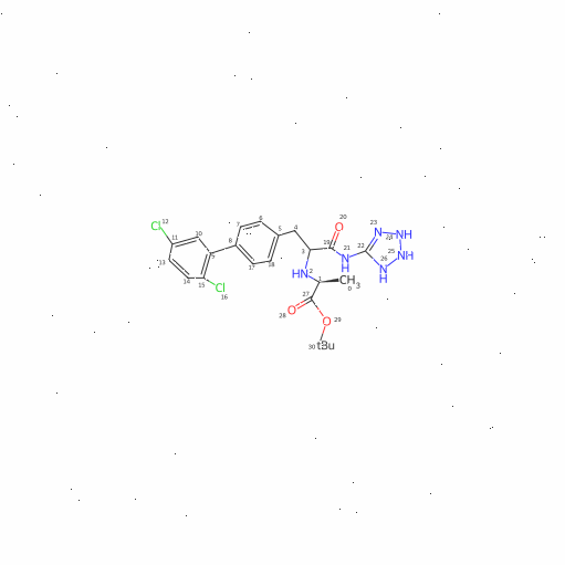 C[C@H](NC(Cc1ccc(-c2cc(Cl)ccc2Cl)cc1)C(=O)NC1=NNNN1)C(=O)OC(C)(C)C